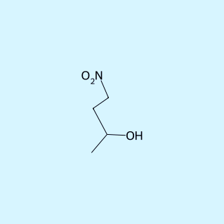 CC(O)CC[N+](=O)[O-]